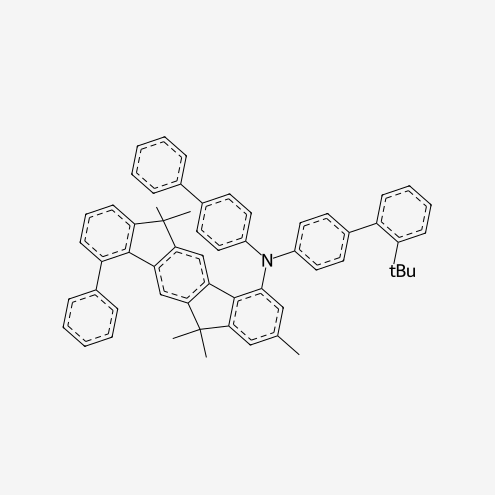 Cc1cc(N(c2ccc(-c3ccccc3)cc2)c2ccc(-c3ccccc3C(C)(C)C)cc2)c2c(c1)C(C)(C)c1cc3c(cc1-2)C(C)(C)c1cccc(-c2ccccc2)c1-3